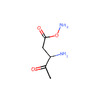 CC(=O)C(N)CC(=O)ON